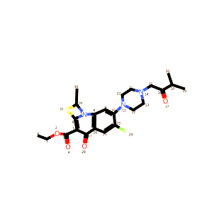 CCOC(=O)c1c2n(c3cc(N4CCN(CC(=O)C(C)C)CC4)c(F)cc3c1=O)C(C)S2